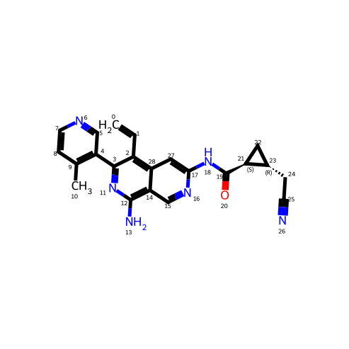 C=Cc1c(-c2cnccc2C)nc(N)c2cnc(NC(=O)[C@H]3C[C@@H]3CC#N)cc12